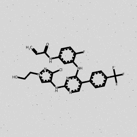 C=CC(=O)Nc1ccc(F)c(Nc2nc(Nc3cn(CCO)nc3Cl)ncc2-c2ccc(C(F)(F)F)cc2)c1